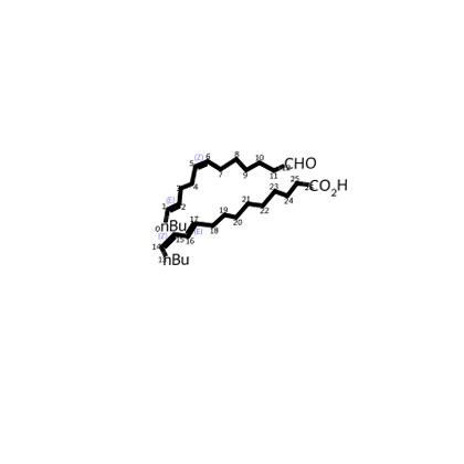 CCCC/C=C/CC/C=C\CCCCCC=O.CCCC/C=C\C=C\CCCCCCCCC(=O)O